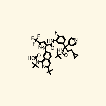 CC(C)(C)c1cc2ccc(-n3nc(C(F)(F)F)cc3C(=O)Nc3cc(C(CCC4CC4)(N[S@+]([O-])C(C)(C)C)c4ccncc4)ccc3F)cc2c(N(C(=O)O)C(C)(C)C)n1